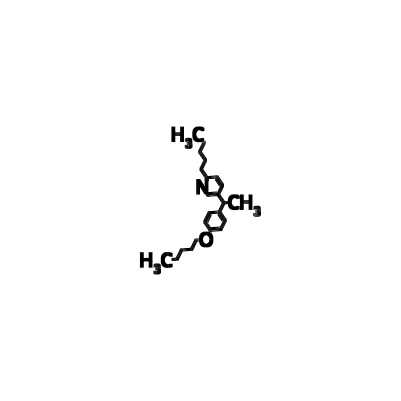 CCCCCOc1ccc(C(C)c2ccc(CCCCC)nc2)cc1